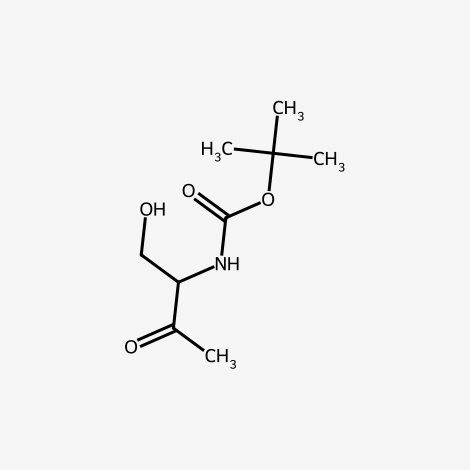 CC(=O)C(CO)NC(=O)OC(C)(C)C